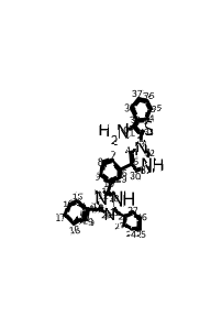 Nc1c(N2C=C(c3cccc(C4N=C(c5ccccc5)N=C(c5ccccc5)N4)c3)CNC2)sc2ccccc12